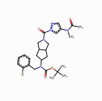 CC(=O)N(C)c1cnn(C(=O)N2CC3CC(N(Cc4ccccc4Cl)C(=O)OC(C)(C)C)CC3C2)c1